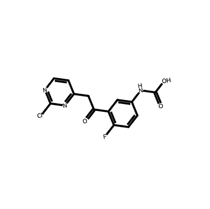 O=C(O)Nc1ccc(F)c(C(=O)Cc2ccnc(Cl)n2)c1